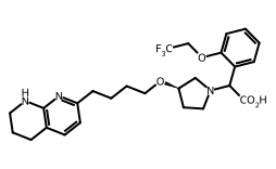 O=C(O)C(c1ccccc1OCC(F)(F)F)N1CC[C@@H](OCCCCc2ccc3c(n2)NCCC3)C1